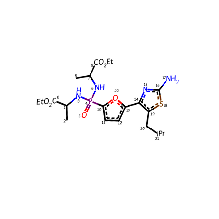 CCOC(=O)C(C)NP(=O)(NC(C)C(=O)OCC)c1ccc(-c2nc(N)sc2CC(C)C)o1